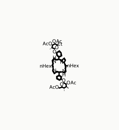 CCCCCCc1c2nc(c(-c3cccc(O[C@H]4OC(CC)[C@H](OC(C)=O)C(OC(C)=O)[C@H]4C)c3)c3ccc([nH]3)c(CCCCCC)c3nc(c(-c4cccc(O[C@@H]5OC(COC(C)=O)[C@@H](C)[C@H](C)C5OC(C)=O)c4)c4ccc1[nH]4)C=C3)C=C2